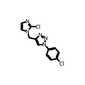 Clc1ccc(-n2cc(Cn3ccnc3Cl)nn2)cc1